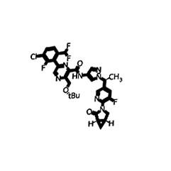 C[C@H](c1cnc(N2C[C@H]3C[C@H]3C2=O)c(F)c1)n1cc(NC(=O)c2nc(-c3c(C(F)F)ccc(Cl)c3F)cnc2COC(C)(C)C)cn1